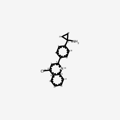 NC1(c2ccc(-c3cc(Cl)c4ccccc4n3)cc2)CC1